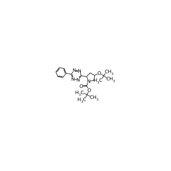 CC(C)(C)OC(=O)N1CC(OC(C)(C)C)CC1c1nnc(-c2ccccc2)nn1